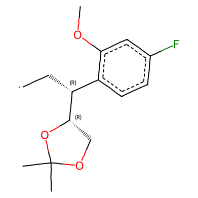 [CH2]C[C@H](c1ccc(F)cc1OC)[C@@H]1COC(C)(C)O1